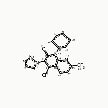 O=c1c(-n2cccn2)c(Cl)c2ccc(C(F)(F)F)nc2n1-c1ccccc1